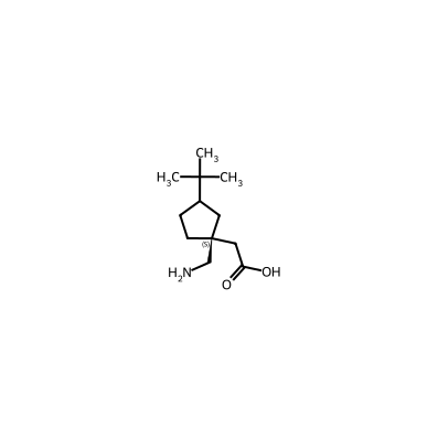 CC(C)(C)C1CC[C@@](CN)(CC(=O)O)C1